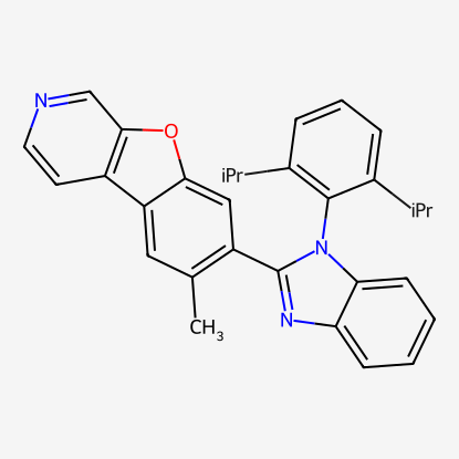 Cc1cc2c(cc1-c1nc3ccccc3n1-c1c(C(C)C)cccc1C(C)C)oc1cnccc12